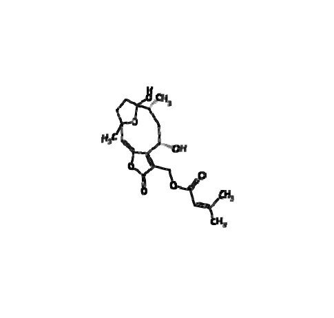 CC(C)=CC(=O)OCC1=C2/C(=C\C3(C)CCC(O)(O3)[C@H](C)C[C@@H]2O)OC1=O